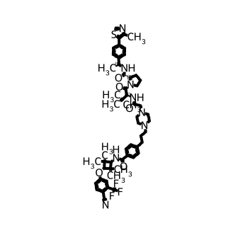 Cc1ncsc1-c1ccc([C@H](C)NC(=O)[C@@H]2CCCN2C(=O)[C@@H](NC(=O)CN2CCN(CCCc3ccc(C(=O)NC4C(C)(C)C(Oc5ccc(C#N)c(C(F)(F)F)c5)C4(C)C)cc3)CC2)C(C)(C)C)cc1